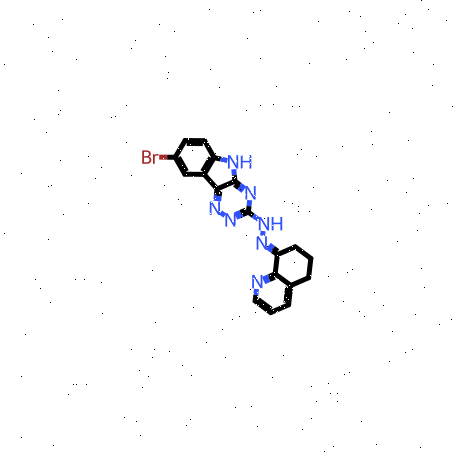 Brc1ccc2[nH]c3nc(N/N=C4\CCCc5cccnc54)nnc3c2c1